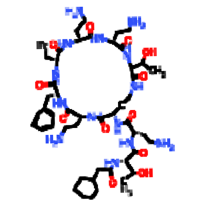 CC(C)C[C@@H]1NC(=O)[C@@H](Cc2ccccc2)NC(=O)[C@H](CCN)NC(=O)[C@@H](NC(=O)[C@H](CCN)NC(=O)[C@@H](NC(=O)CC2CCCCC2)C(C)O)CCNC(=O)C(C(C)O)NC(=O)[C@H](CCN)NC(=O)[C@H](CCN)NC1=O